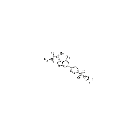 CN(Cc1cc2cc(-c3ccc(S(=O)(=O)N4CC(F)(F)C4)cc3)cc(C(F)(F)F)c2o1)C(=O)OC(C)(C)C